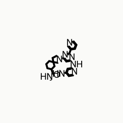 CNC(=O)C1CCCC2(CCN(c3cc(Nc4cc(NC)ccn4)nc(-c4cccnc4)n3)C2)C1